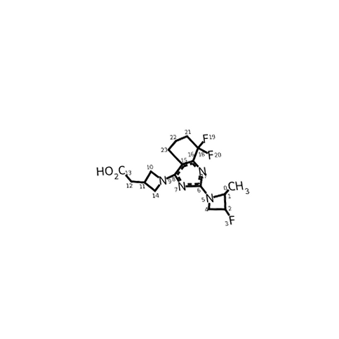 CC1C(F)CN1c1nc(N2CC(CC(=O)O)C2)c2c(n1)C(F)(F)CCC2